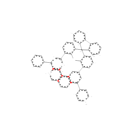 c1ccc(-c2cc(-c3ccccc3)nc(-c3cccc4c3Sc3c(-c5cc(-c6ccncc6)nc(-c6ccncc6)c5)cccc3C43c4ccccc4-c4ccccc43)n2)cc1